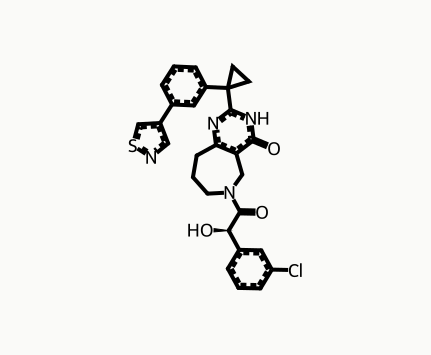 O=C([C@H](O)c1cccc(Cl)c1)N1CCCc2nc(C3(c4cccc(-c5cnsc5)c4)CC3)[nH]c(=O)c2C1